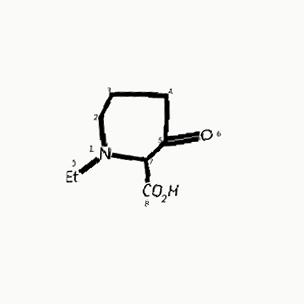 CCN1CCCC(=O)C1C(=O)O